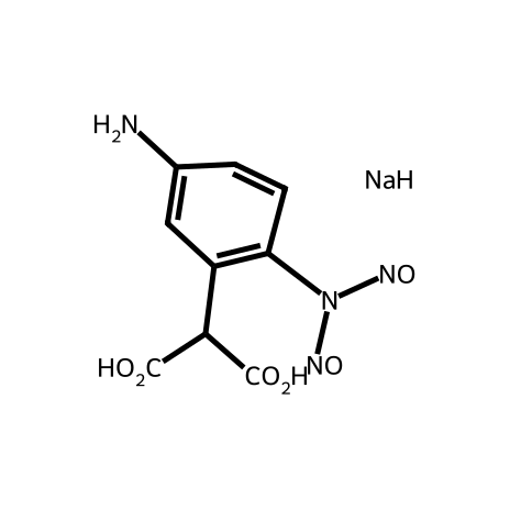 Nc1ccc(N(N=O)N=O)c(C(C(=O)O)C(=O)O)c1.[NaH]